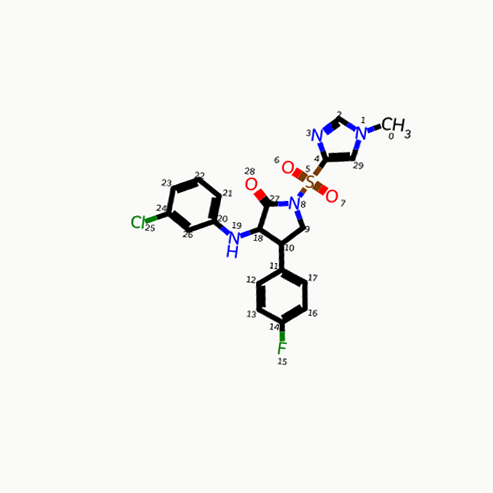 Cn1cnc(S(=O)(=O)N2CC(c3ccc(F)cc3)C(Nc3cccc(Cl)c3)C2=O)c1